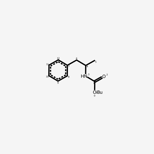 CC(C)COC(=O)NC(C)Cc1ccccc1